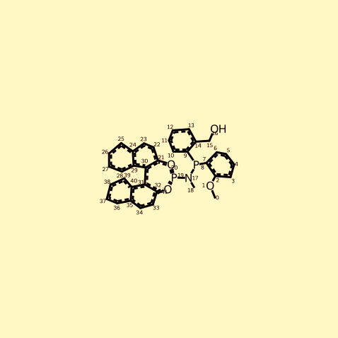 COc1ccccc1P(c1ccccc1CO)N(C)p1oc2ccc3ccccc3c2c2c(ccc3ccccc32)o1